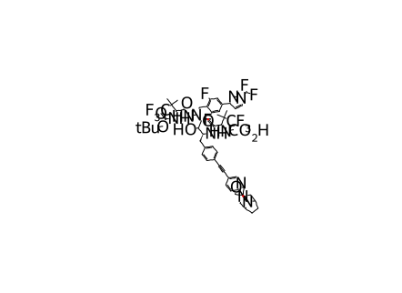 CC(C)(C)OC(=O)N[C@H](C(=O)NN(Cc1c(F)cc(-c2ccn(C(F)F)n2)cc1F)C[C@H](O)[C@H](Cc1ccc(C#Cc2ccc(N3CC4CCC(C3)N4C3COC3)nc2)cc1)NC(=O)[C@@H](NC(=O)O)C(C)(C)C(F)(F)F)C(C)(C)C(F)(F)F